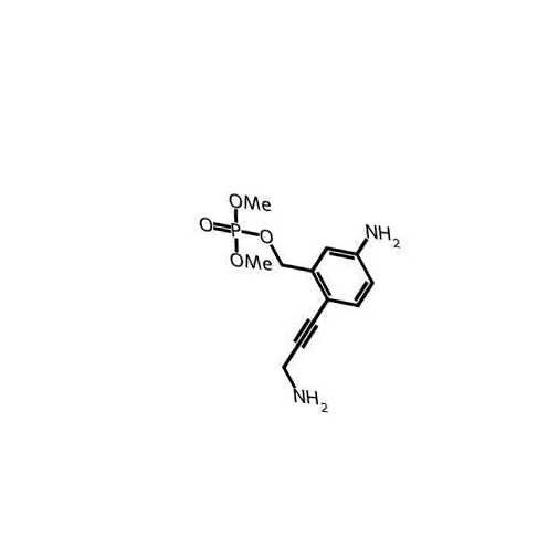 COP(=O)(OC)OCc1cc(N)ccc1C#CCN